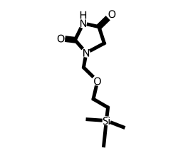 C[Si](C)(C)CCOCN1CC(=O)NC1=O